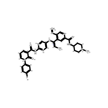 C=Nc1cnc(C(=O)NC2CCN(C)CC2)cc1/C(=C\C)Oc1cnc(NC(=O)c2cccn(-c3ccc(F)cc3)c2=O)nc1